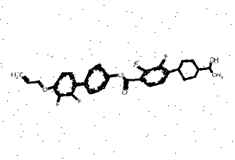 C=CCOc1ccc(-c2ccc(OC(=O)c3ccc(C4CCC(C(C)O)CC4)c(F)c3F)cc2)c(F)c1F